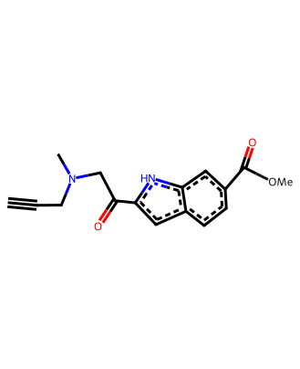 C#CCN(C)CC(=O)c1cc2ccc(C(=O)OC)cc2[nH]1